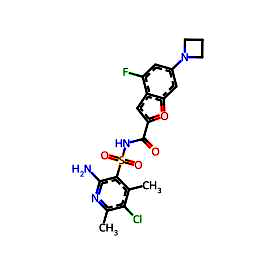 Cc1nc(N)c(S(=O)(=O)NC(=O)c2cc3c(F)cc(N4CCC4)cc3o2)c(C)c1Cl